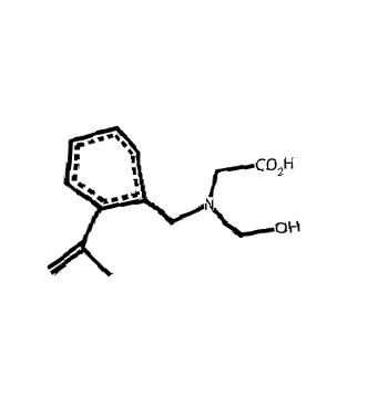 C=C(C)c1ccccc1CN(CO)CC(=O)O